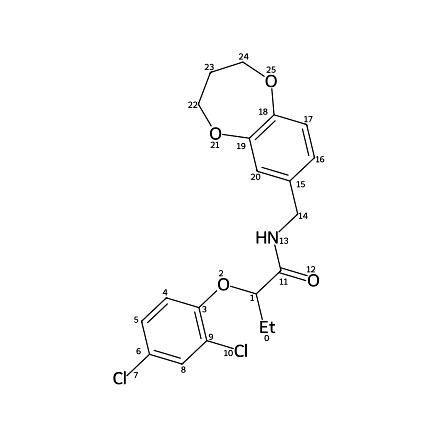 CCC(Oc1ccc(Cl)cc1Cl)C(=O)NCc1ccc2c(c1)OCCCO2